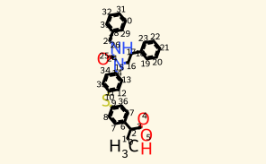 CCC(C(=O)O)c1ccc(Sc2ccc(N(CCc3ccccc3)C(=O)NCc3ccccc3)cc2)cc1